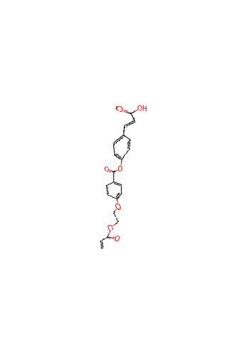 C=CC(=O)OCCOc1ccc(C(=O)Oc2ccc(/C=C/C(=O)O)cc2)cc1